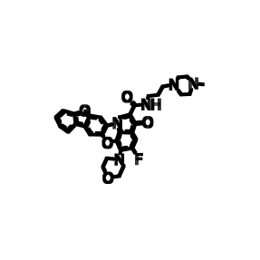 CN1CCN(CCCNC(=O)c2cn3c4c(c(N5CCOCC5)c(F)cc4c2=O)Oc2cc4c(cc2-3)oc2ccccc24)CC1